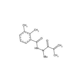 C=C(C)C(=O)N(NC(=O)c1cccc(C)c1C)C(C)(C)C